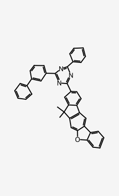 CC1(C)c2cc(-c3nc(-c4ccccc4)nc(-c4cccc(-c5ccccc5)c4)n3)ccc2-c2cc3c(cc21)oc1ccccc13